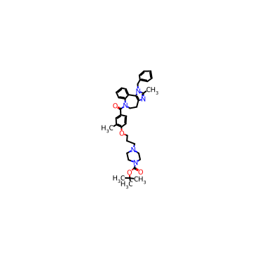 Cc1cc(C(=O)N2CCc3nc(C)n(Cc4ccccc4)c3-c3ccccc32)ccc1OCCCN1CCN(C(=O)OC(C)(C)C)CC1